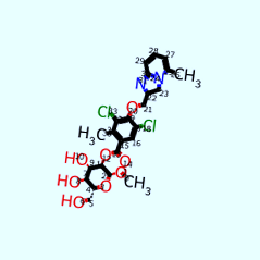 CO[C@H]1O[C@H](CO)[C@@H](O)[C@H](O)[C@H]1OC(=O)c1cc(Cl)c(OCC2CN3C(C)=CC=CC3=N2)c(Cl)c1C